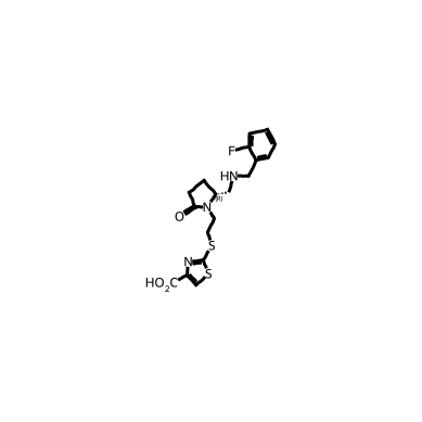 O=C(O)c1csc(SCCN2C(=O)CC[C@@H]2CNCc2ccccc2F)n1